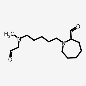 CN(CC=O)CCCCCN1CCCCCC1C=O